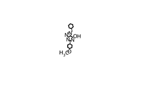 COc1ccc(-c2nc(O)c3c(ncn3Cc3ccccc3)n2)cc1